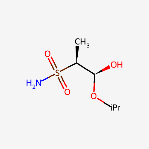 CC(C)O[C@H](O)[C@H](C)S(N)(=O)=O